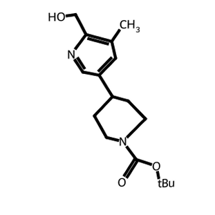 Cc1cc(C2CCN(C(=O)OC(C)(C)C)CC2)cnc1CO